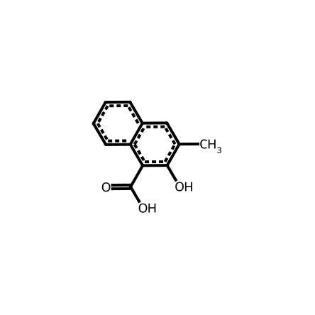 Cc1cc2ccccc2c(C(=O)O)c1O